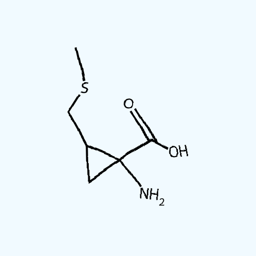 CSCC1CC1(N)C(=O)O